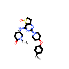 Cc1ccc(OC2CCN(c3nc4c(c(N[C@H]5CCC(=O)N(C)C5)n3)[S+]([O-])CC4)CC2)cc1